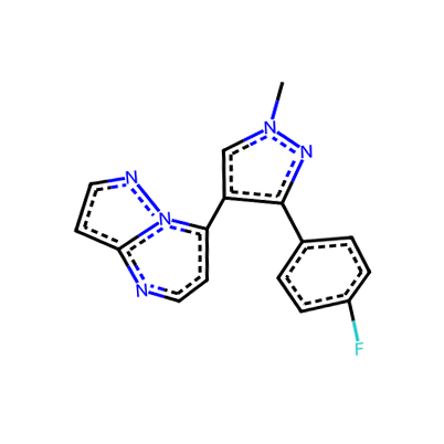 Cn1cc(-c2ccnc3ccnn23)c(-c2ccc(F)cc2)n1